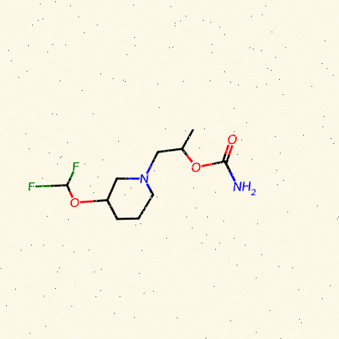 CC(CN1CCCC(OC(F)F)C1)OC(N)=O